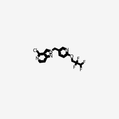 FC(F)C(F)(F)COc1ccc(Cn2cc3c(Cl)nccc3n2)cn1